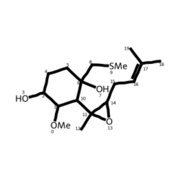 COC1C(O)CCC(O)(CSC)C1C1(C)OC1CC=C(C)C